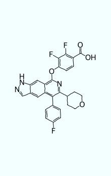 O=C(O)c1ccc(Oc2nc(C3CCOCC3)c(-c3ccc(F)cc3)c3cc4cn[nH]c4cc23)c(F)c1F